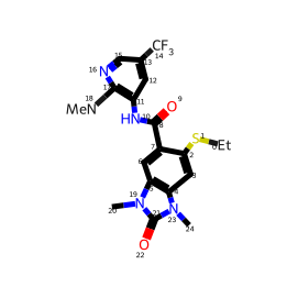 CCSc1cc2c(cc1C(=O)Nc1cc(C(F)(F)F)cnc1NC)n(C)c(=O)n2C